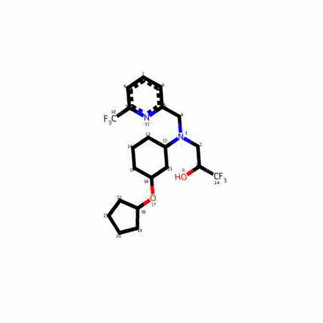 OC(CN(Cc1cccc(C(F)(F)F)n1)C1CCCC(OC2CCCC2)C1)C(F)(F)F